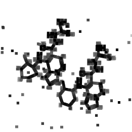 CC1CCCCC1Nc1c(C(=O)NNC(N)=S)cnn2cccc12.CC1CCCCC1Nc1c(C(=O)NNC(N)=S)cnn2cccc12